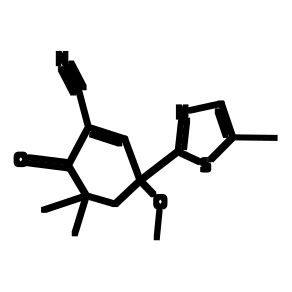 COC1(c2ncc(C)s2)C=C(C#N)C(=O)C(C)(C)C1